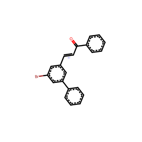 O=C(/C=C/c1cc(Br)cc(-c2ccccc2)c1)c1ccccc1